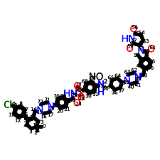 CC1(C)CCC(c2ccc(Cl)cc2)=C(CN2CCN(c3ccc(C(=O)NS(=O)(=O)c4ccc(NC[C@H]5CC[C@H](N6CCN(Cc7ccc8c(c7)CN(C7CCC(=O)NC7=O)C8=O)CC6)CC5)c([N+](=O)[O-])c4)cc3)CC2)C1